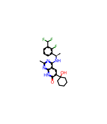 Cc1nc(N[C@H](C)c2cccc(C(F)F)c2F)c2cc(C3(O)CCCCC3)c(=O)[nH]c2n1